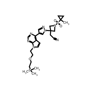 CC1(S(=O)(=O)N2CC(CC#N)(n3cc(-c4ncnc5c4ccn5CCOCC[Si](C)(C)C)cn3)C2)CC1